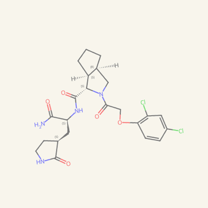 NC(=O)[C@H](C[C@@H]1CCNC1=O)NC(=O)[C@@H]1[C@H]2CCC[C@H]2CN1C(=O)COc1ccc(Cl)cc1Cl